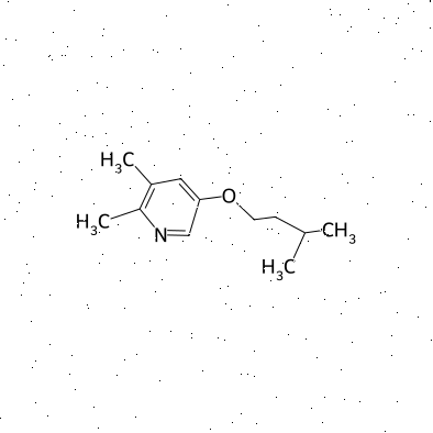 Cc1cc(OCCC(C)C)cnc1C